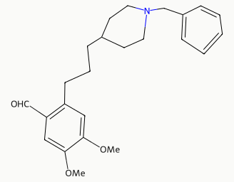 COc1cc(C=O)c(CCCC2CCN(Cc3ccccc3)CC2)cc1OC